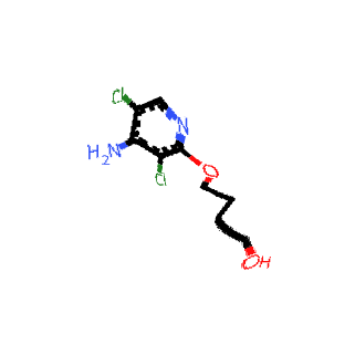 Nc1c(Cl)cnc(OCCCCO)c1Cl